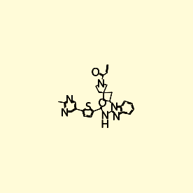 C=CC(=O)N1CC[C@]2(C1)C[C@H](n1c(NC(=O)c3ccc(-c4cnc(C)nc4)s3)nc3ccccc31)C2